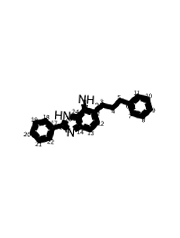 Nc1c(CCCc2ccccc2)ccc2nc(-c3ccccc3)[nH]c12